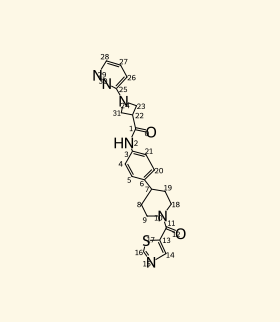 O=C(Nc1ccc(C2CCN(C(=O)c3cncs3)CC2)cc1)C1CN(c2cccnn2)C1